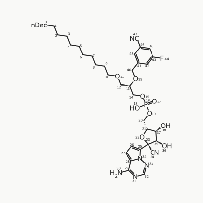 CCCCCCCCCCCCCCCCCCCCOC[C@H](COP(=O)(O)OC[C@H]1O[C@@](C#N)(c2ccc3c(N)ncnn23)[C@H](O)[C@@H]1O)OCc1cc(F)cc(C#N)c1